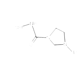 CC(C)N1CCN(C(=O)NC(C)(C)C)C1